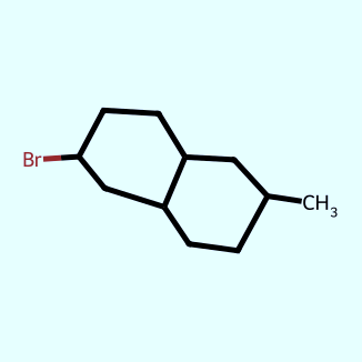 CC1CCC2CC(Br)CCC2C1